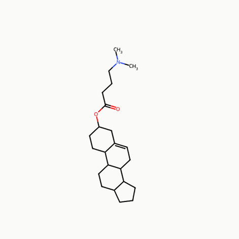 CN(C)CCCC(=O)OC1CCC2C(=CCC3C4CCCC4CCC23)C1